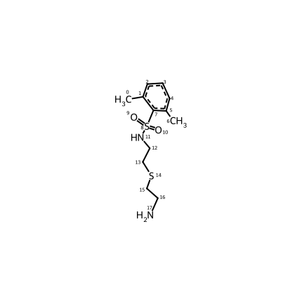 Cc1cccc(C)c1S(=O)(=O)NCCSCCN